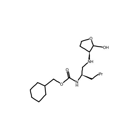 CC(C)C[C@H](CN[C@H]1CCOC1O)NC(=O)OCC1CCCCC1